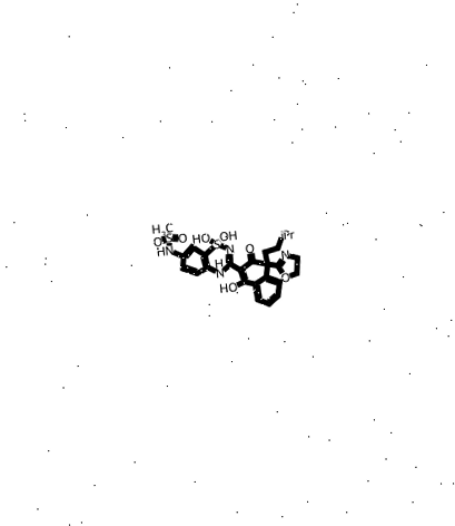 CC(C)CCC1(C2=NCCO2)C(=O)C(C2=NS(O)(O)c3cc(NS(C)(=O)=O)ccc3N2)=C(O)c2ccccc21